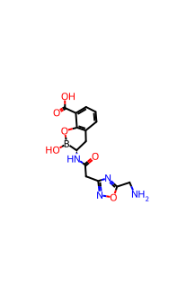 NCc1nc(CC(=O)N[C@H]2Cc3cccc(C(=O)O)c3OB2O)no1